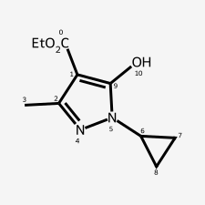 CCOC(=O)c1c(C)nn(C2CC2)c1O